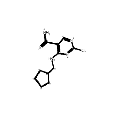 NC(=O)c1cnc(Cl)nc1NCC1CCCC1